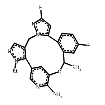 CCn1ncc2c1-c1cnc(N)c(c1)OC(C)c1cc(F)ccc1-c1cc(F)nn1C2